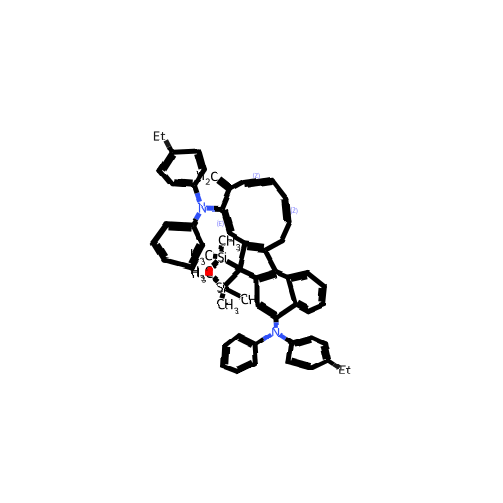 C=C1/C=C\C=C/CC2=C(/C=C\1N(c1ccccc1)c1ccc(CC)cc1)C([Si](C)(C)C)([Si](C)(C)C)c1cc(N(c3ccccc3)c3ccc(CC)cc3)c3ccccc3c12